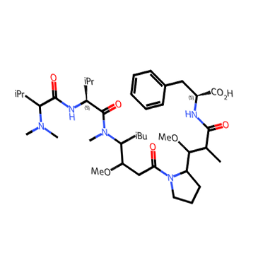 CCC(C)C(C(CC(=O)N1CCCC1C(OC)C(C)C(=O)N[C@@H](Cc1ccccc1)C(=O)O)OC)N(C)C(=O)[C@@H](NC(=O)C(C(C)C)N(C)C)C(C)C